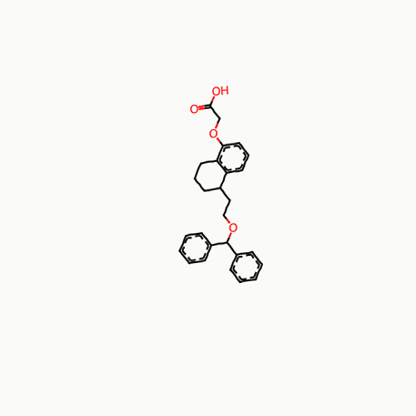 O=C(O)COc1cccc2c1CCCC2CCOC(c1ccccc1)c1ccccc1